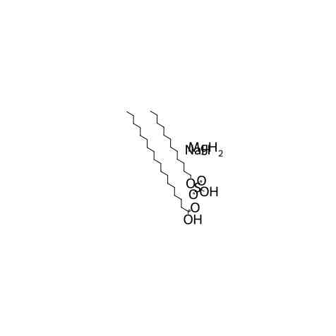 CCCCCCCCCCCCCCCCCC(=O)O.CCCCCCCCCCCCOS(=O)(=O)O.[MgH2].[NaH]